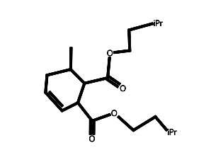 CC(C)CCOC(=O)C1C=CCC(C)C1C(=O)OCCC(C)C